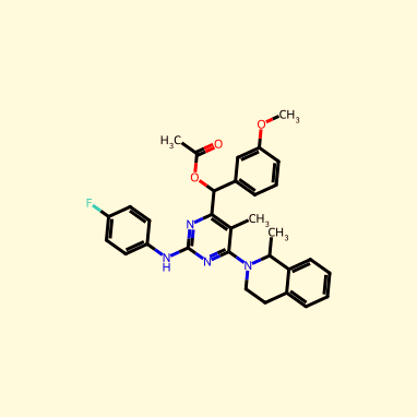 COc1cccc(C(OC(C)=O)c2nc(Nc3ccc(F)cc3)nc(N3CCc4ccccc4C3C)c2C)c1